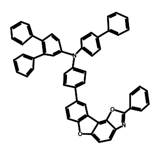 c1ccc(-c2ccc(N(c3ccc(-c4ccc5oc6ccc7nc(-c8ccccc8)oc7c6c5c4)cc3)c3ccc(-c4ccccc4)c(-c4ccccc4)c3)cc2)cc1